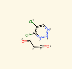 Clc1cnnnc1Cl.O=C=CC=O